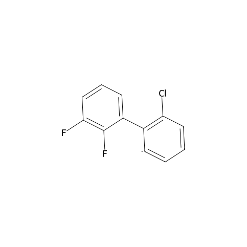 Fc1cccc(-c2[c]cccc2Cl)c1F